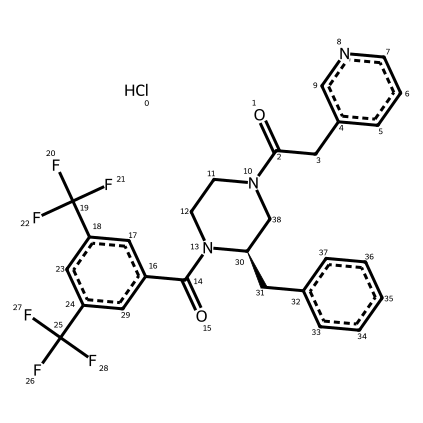 Cl.O=C(Cc1cccnc1)N1CCN(C(=O)c2cc(C(F)(F)F)cc(C(F)(F)F)c2)[C@H](Cc2ccccc2)C1